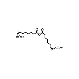 CCCCCCCC/C=C\CCCCCC(=O)OC(=O)CCCCC/C=C\CCCCCCCC